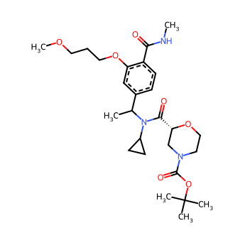 CNC(=O)c1ccc(C(C)N(C(=O)[C@H]2CN(C(=O)OC(C)(C)C)CCO2)C2CC2)cc1OCCCOC